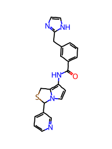 O=C(Nc1ccn2c1CSC2c1cccnc1)c1cccc(Cc2ncc[nH]2)c1